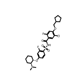 CN(C)[C@H]1CCCC[C@@H]1Oc1ccc(S(=O)(=O)NC(=O)c2cc(Cl)c(OCC3CCCC3)cc2F)c(F)c1